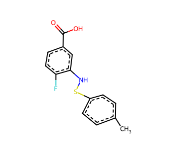 Cc1ccc(SNc2cc(C(=O)O)ccc2F)cc1